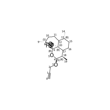 C#CCO[C@H]1O[C@@H]2O[C@]3(C)CCC4[C@H](C)CCC([C@H]1C)[C@]42OO3